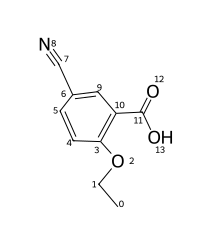 CCOc1ccc(C#N)cc1C(=O)O